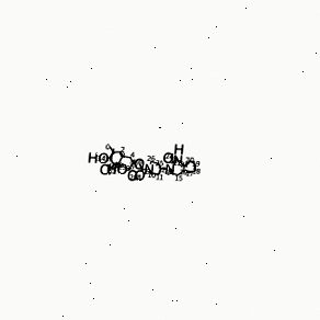 Cc1cc(C[C@@H](OC(=O)N2CCC(N3CCc4ccccc4NC3=O)CC2)C(=O)O)cc(Cl)c1O